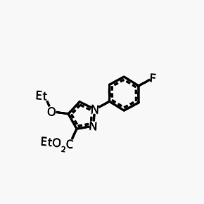 CCOC(=O)c1nn(-c2ccc(F)cc2)cc1OCC